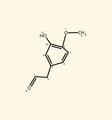 COc1ccc(CC=O)cc1O